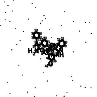 COc1cc(Nc2nc3ccccc3nc2NS(=O)(=O)c2cccc(C3(C(N)=O)CC3c3ccccc3)c2)cc(OC)c1